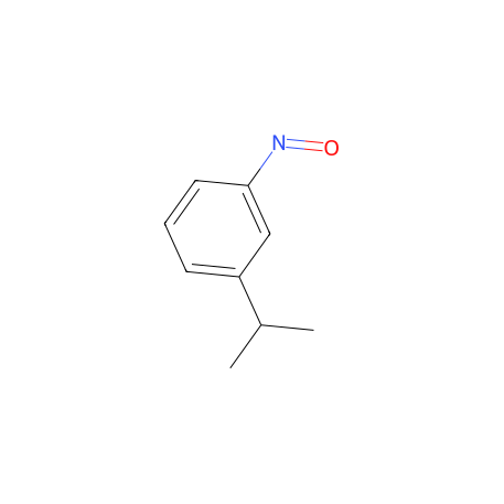 CC(C)c1cccc(N=O)c1